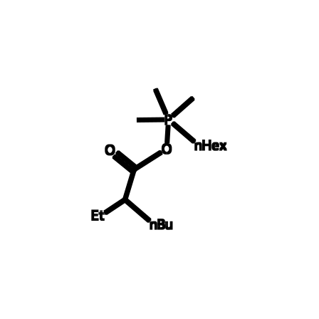 CCCCCCP(C)(C)(C)OC(=O)C(CC)CCCC